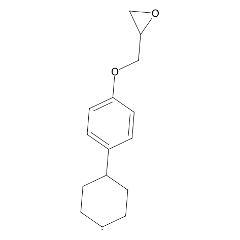 [CH]1CCC(c2ccc(OCC3CO3)cc2)CC1